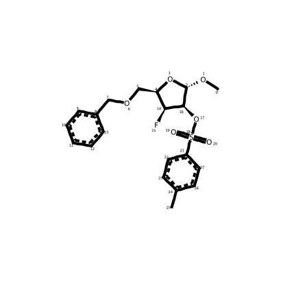 CO[C@H]1O[C@H](COCc2ccccc2)[C@H](F)[C@@H]1OS(=O)(=O)c1ccc(C)cc1